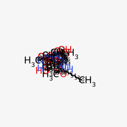 CCCCCCCCCC(=O)N[C@@H](CC(C)C)C(=O)N[C@H](C(=O)N1CCC[C@@H]1C(=O)N[C@H](C(=O)N[C@@H](C)C(=O)N[C@@H](Cc1ccc(O)cc1)C(=O)NC(C)C(=O)C(=O)NC)C(C)O)C(C)O